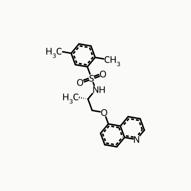 Cc1ccc(C)c(S(=O)(=O)N[C@@H](C)COc2cccc3ncccc23)c1